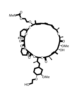 CNC(=O)OCCO[C@@H]1C[C@@H]2CC[C@@H](C)[C@@](O)(O2)C(=O)C(=O)N2CCCC[C@H]2C(=O)OC([C@H](C)CC2CC[C@@H](OCCO)[C@H](OC)C2)CC(=O)[C@H](C)/C=C(\C)[C@@H](O)[C@@H](OC)C(=O)[C@H](C)C[C@H](C)/C=C/C=C/C=C/1C